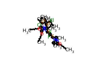 CCCCCCCCOc1cccc(-c2nc3c(C)ccc(-c4ccc(-c5cc(F)c(-c6ccc(-c7ccc(-c8cc9c(-c%10cc(Cl)c(CC(CC)CCCC)s%10)c%10sc(C)cc%10c(-c%10cc(Cl)c(CC(CC)CCCC)s%10)c9s8)c8nc(-c9cccc(OCCCCCCCC)c9)c(-c9cccc(OCCCCCCCC)c9)nc78)s6)cc5F)s4)c3nc2-c2cccc(C)c2)c1